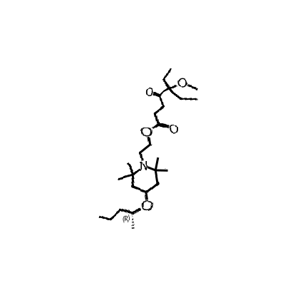 CCC[C@@H](C)OC1CC(C)(C)N(CCOC(=O)CCC(=O)C(CC)(CC)OC)C(C)(C)C1